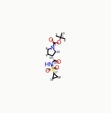 CC(C)(C)OC(=O)N1CC[C@@H](C(=O)NS(=O)(=O)C2CC2)C1